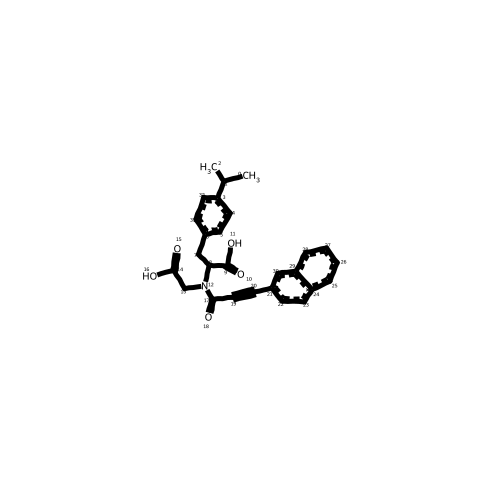 CC(C)c1ccc(CC(C(=O)O)N(CC(=O)O)C(=O)C#Cc2ccc3ccccc3c2)cc1